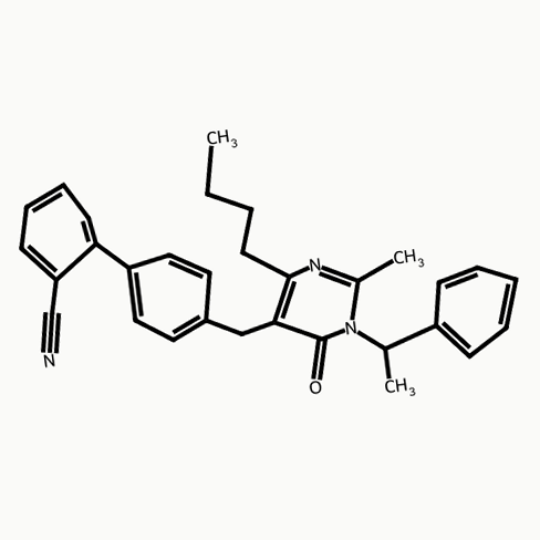 CCCCc1nc(C)n(C(C)c2ccccc2)c(=O)c1Cc1ccc(-c2ccccc2C#N)cc1